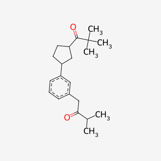 CC(C)C(=O)Cc1cccc(C2CCC(C(=O)C(C)(C)C)C2)c1